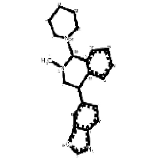 CN1CC(c2ccc3ncoc3c2)c2ccccc2C1N1CCCCC1